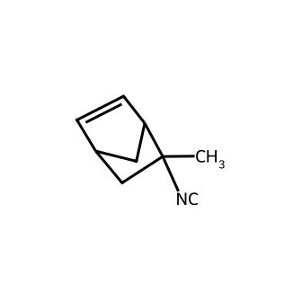 [C-]#[N+]C1(C)CC2C=CC1C2